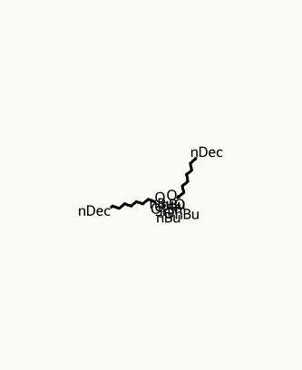 CCCCCCCCCCCCCCCCCC(=O)[O][Sn]([CH2]CCC)([CH2]CCC)[O][Sn]([CH2]CCC)([CH2]CCC)[O]C(=O)CCCCCCCCCCCCCCCCC